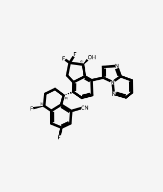 N#Cc1cc(F)cc2c1[C@@H](c1ccc(-c3cnc4cccnn34)c3c1CC(F)(F)[C@H]3O)CC[C@@H]2F